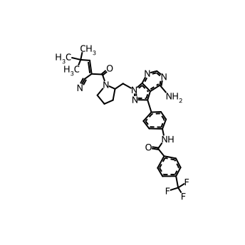 CC(C)(C)C=C(C#N)C(=O)N1CCCC1Cn1nc(-c2ccc(NC(=O)c3ccc(C(F)(F)F)cc3)cc2)c2c(N)ncnc21